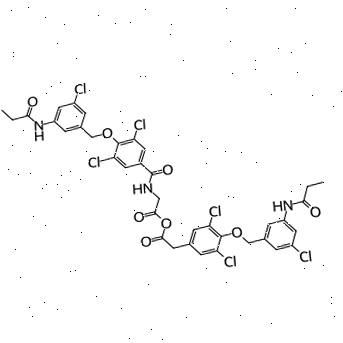 CCC(=O)Nc1cc(Cl)cc(COc2c(Cl)cc(CC(=O)OC(=O)CNC(=O)c3cc(Cl)c(OCc4cc(Cl)cc(NC(=O)CC)c4)c(Cl)c3)cc2Cl)c1